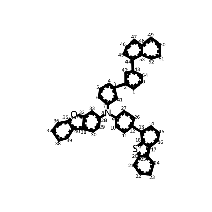 c1cc(-c2cccc(N(c3ccc(-c4cccc5c4sc4ccccc45)cc3)c3ccc4c(c3)oc3ccccc34)c2)cc(-c2cccc3ccccc23)c1